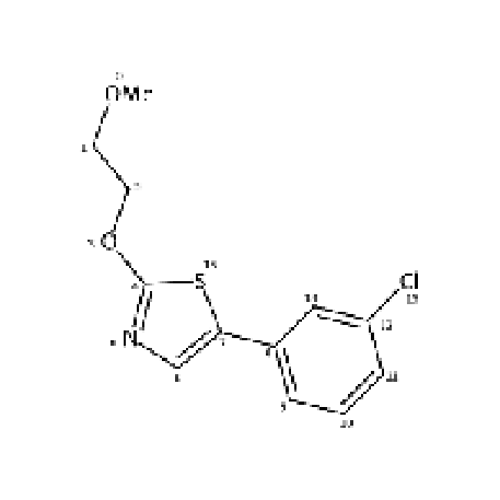 COCCOc1ncc(-c2cccc(Cl)c2)s1